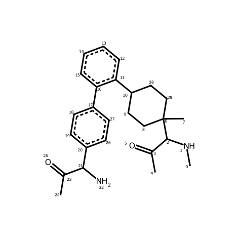 CNC(C(C)=O)C1(C)CCC(c2ccccc2-c2ccc(C(N)C(C)=O)cc2)CC1